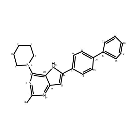 Cc1nc(N2CCCCC2)c2[nH]c(-c3ccc(-c4ccccc4)cc3)cc2n1